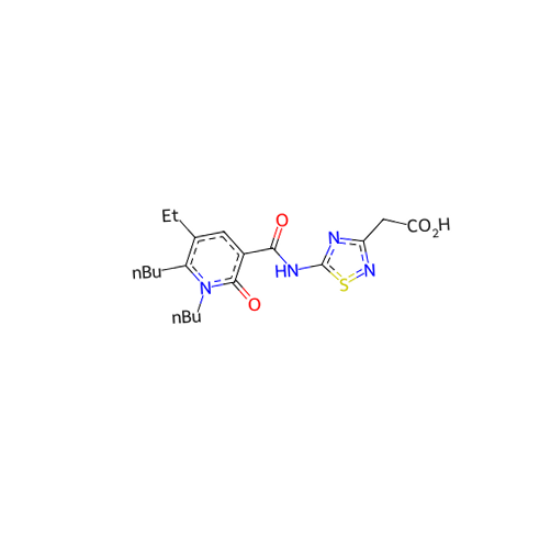 CCCCc1c(CC)cc(C(=O)Nc2nc(CC(=O)O)ns2)c(=O)n1CCCC